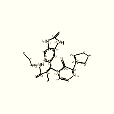 C=C1Nc2ccc(/C(=C(/C)C(=C)NCCC)N3C=CN=C(N4CCCC4)C3=C)cc2N1